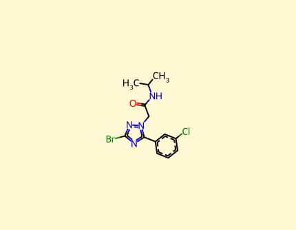 CC(C)NC(=O)Cn1nc(Br)nc1-c1cccc(Cl)c1